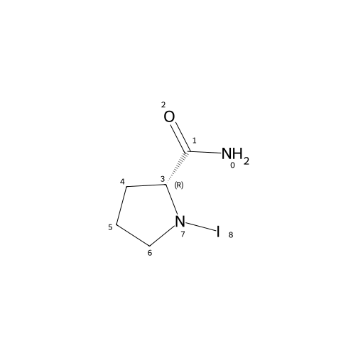 NC(=O)[C@H]1CCCN1I